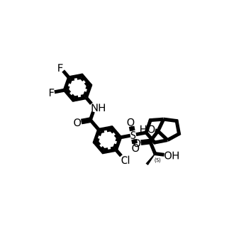 C[C@H](O)C(=O)C1(O)C2CCC1CC(S(=O)(=O)c1cc(C(=O)Nc3ccc(F)c(F)c3)ccc1Cl)C2